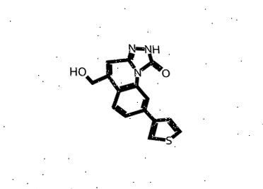 O=c1[nH]nc2cc(CO)c3ccc(-c4ccsc4)cc3n12